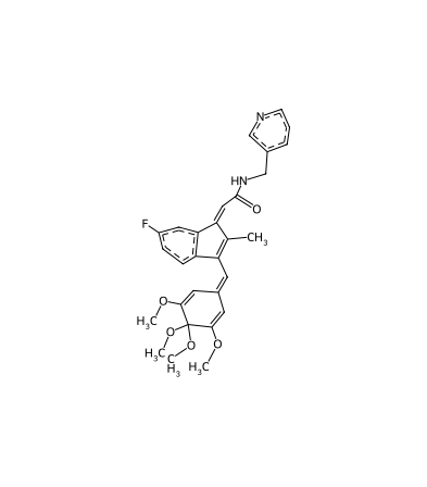 COC1=CC(=CC2=C(C)C(=CC(=O)NCc3cccnc3)c3cc(F)ccc32)C=C(OC)C1(OC)OC